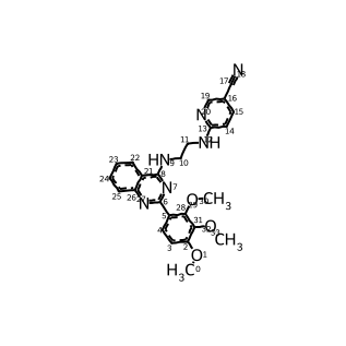 COc1ccc(-c2nc(NCCNc3ccc(C#N)cn3)c3ccccc3n2)c(OC)c1OC